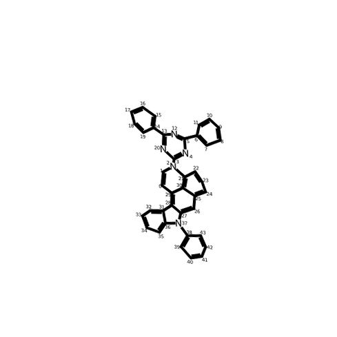 C1=CN(c2nc(-c3ccccc3)nc(-c3ccccc3)n2)c2cccc3cc4c(c1c23)c1ccccc1n4-c1ccccc1